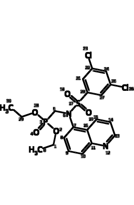 CCOP(=O)(CN(c1cccc2ncccc12)S(=O)(=O)c1cc(Cl)cc(Cl)c1)OCC